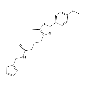 COc1ccc(-c2nc(CCCC(=O)NCC3=CC=CC3)c(C)o2)cc1